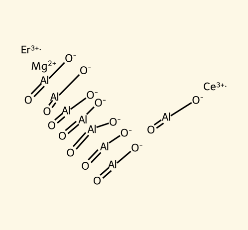 [Ce+3].[Er+3].[Mg+2].[O]=[Al][O-].[O]=[Al][O-].[O]=[Al][O-].[O]=[Al][O-].[O]=[Al][O-].[O]=[Al][O-].[O]=[Al][O-].[O]=[Al][O-]